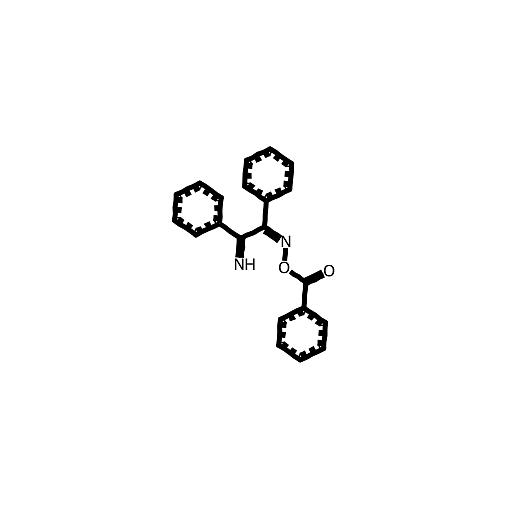 N=C(/C(=N\OC(=O)c1ccccc1)c1ccccc1)c1ccccc1